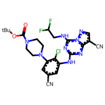 CC(C)(C)OC(=O)N1CCN(c2cc(C#N)cc(Nc3nc(NCC(F)F)n4ncc(C#N)c4n3)c2Cl)CC1